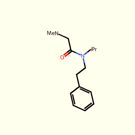 CNCC(=O)N(CCc1ccccc1)C(C)C